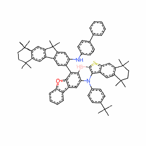 CC(C)(C)c1ccc(N2c3cc4c(oc5ccccc54)c(-c4cc5c(cc4Nc4ccc(-c6ccccc6)cc4)C(C)(C)c4cc6c(cc4-5)C(C)(C)CCC6(C)C)c3Bc3sc4cc5c(cc4c32)C(C)(C)CCC5(C)C)cc1